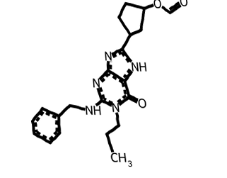 CCCn1c(NCc2ccccc2)nc2nc(C3CCC(OC=O)C3)[nH]c2c1=O